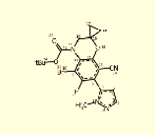 Cn1nccc1-c1c(F)c(Br)c2c(c1C#N)OC1(CC1)CN2C(=O)OC(C)(C)C